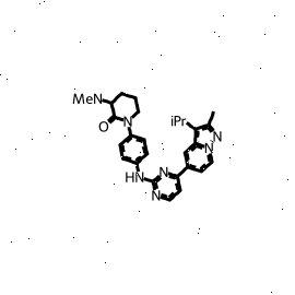 CNC1CCCN(c2ccc(Nc3nccc(-c4ccn5nc(C)c(C(C)C)c5c4)n3)cc2)C1=O